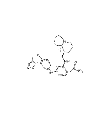 Cc1nnnn1-c1cc(Nc2ncc(C(N)=O)c(NC[C@@H]3CCCN4CCCC[C@H]34)n2)ccc1F